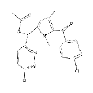 CC(=O)OC(c1ccc(Cl)nn1)c1cc(C)c(C(=O)c2ccc(Cl)cc2)n1C